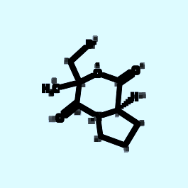 CC1(CBr)OC(=O)[C@H]2CCCN2C1=O